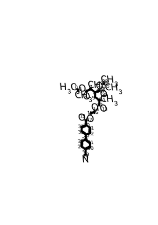 CC(C)OC(=O)C(C)C(CC(C)C(=O)OCCOC(=O)c1ccc(-c2ccc(C#N)cc2)cc1)C(=O)OC(C)C